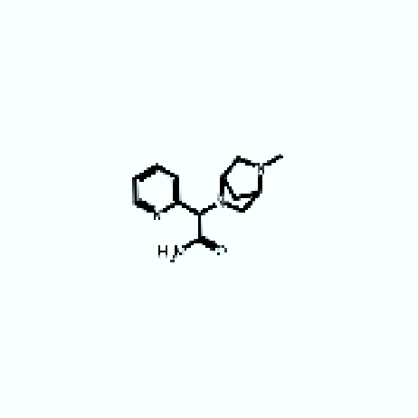 CN1CC2CC1CN2C(C(N)=O)c1ccccn1